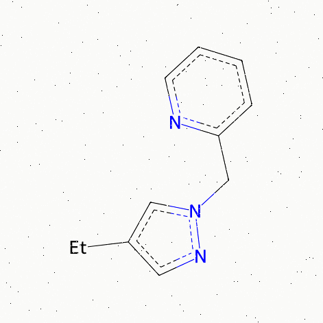 CCc1cnn(Cc2ccccn2)c1